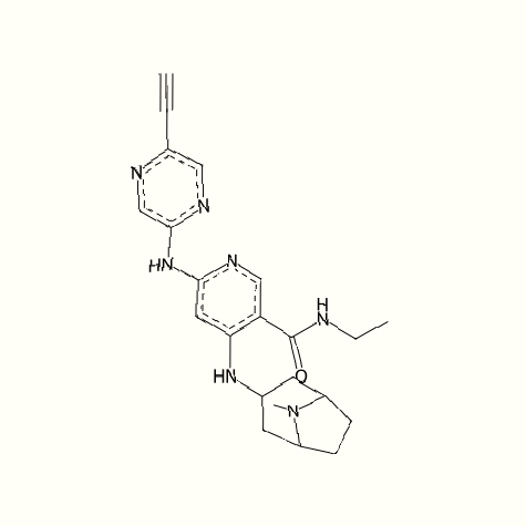 C#Cc1cnc(Nc2cc(NC3CC4CCC(C3)N4C)c(C(=O)NCC)cn2)cn1